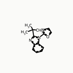 CC(C)(C)c1nc2ccccc2n1-c1ncco1